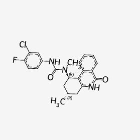 C[C@H]1Cc2[nH]c(=O)c3ccccc3c2[C@H](N(C)C(=O)Nc2ccc(F)c(Cl)c2)C1